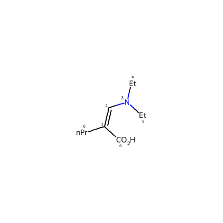 CCCC(=CN(CC)CC)C(=O)O